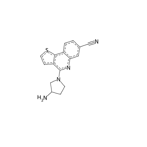 N#Cc1ccc2c(c1)nc(N1CCC(N)C1)c1ccsc12